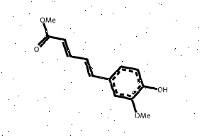 COC(=O)C=CC=Cc1ccc(O)c(OC)c1